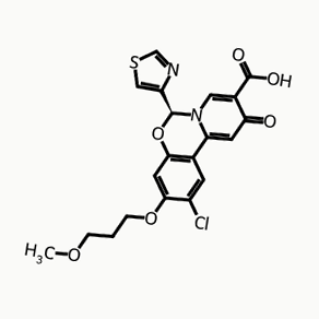 COCCCOc1cc2c(cc1Cl)-c1cc(=O)c(C(=O)O)cn1[C@H](c1cscn1)O2